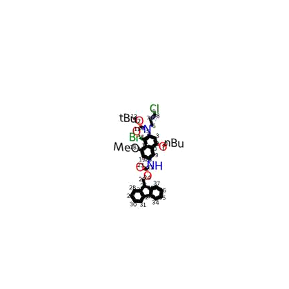 CCCCOc1cc(N(C/C=C/Cl)C(=O)OC(C)(C)C)c(Br)c2c(OC)cc(NC(=O)OCC3c4ccccc4-c4ccccc43)cc12